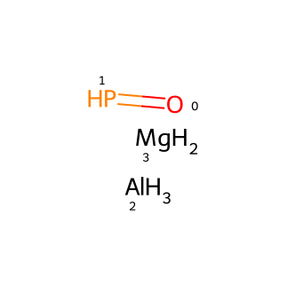 O=P.[AlH3].[MgH2]